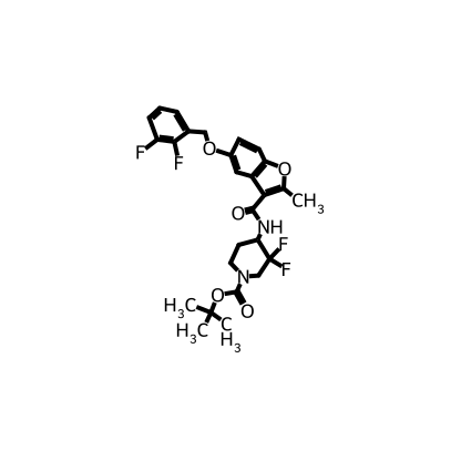 Cc1oc2ccc(OCc3cccc(F)c3F)cc2c1C(=O)NC1CCN(C(=O)OC(C)(C)C)CC1(F)F